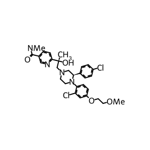 CNC(=O)c1ccc([C@](C)(O)CN2CCN(c3ccc(OCCOC)cc3Cl)[C@H](c3ccc(Cl)cc3)C2)nc1